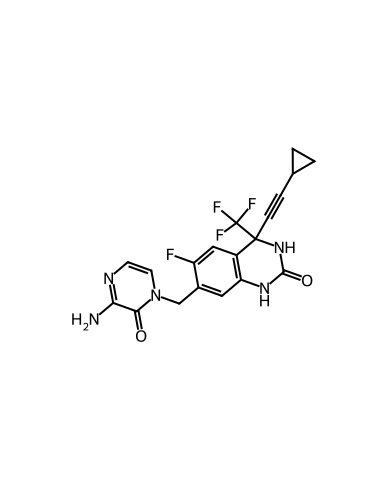 Nc1nccn(Cc2cc3c(cc2F)C(C#CC2CC2)(C(F)(F)F)NC(=O)N3)c1=O